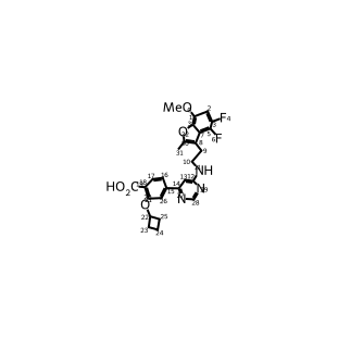 COc1cc(F)c(F)c2c(CCNc3cc(-c4ccc(C(=O)O)c(OC5CCC5)c4)ncn3)c(C)oc12